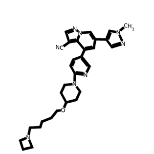 Cn1cc(-c2cc(-c3ccc(N4CCC(OCCCCCN5CCC5)CC4)nc3)c3c(C#N)cnn3c2)cn1